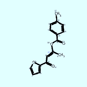 C/C(=C\C(=O)c1ccco1)OC(=O)c1ccc(C)cc1